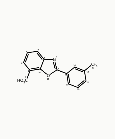 O=C(O)c1cccc2nc(-c3cccc(C(F)(F)F)c3)oc12